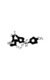 Cc1ccc(NS(=O)(=O)c2ccc3[nH]c(=O)c4[nH]cc(C(=O)O)c4c3c2)cc1